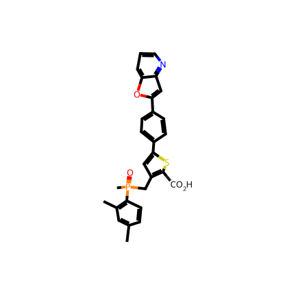 Cc1ccc(P(C)(=O)Cc2cc(-c3ccc(-c4cc5ncccc5o4)cc3)sc2C(=O)O)c(C)c1